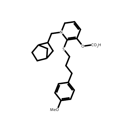 COc1ccc(CCCSC2=C(OC(=O)O)C=CCN2CC2CC3CCC2C3)cc1